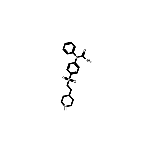 NC(=O)N(c1ccccc1)c1ccc(S(=O)(=O)CCC2CCNCC2)cc1